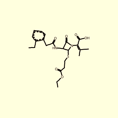 CCOC(=O)CCSC1C(NC(=O)Cc2ccccc2CC)C(=O)N1C(C(=O)O)=C(C)C